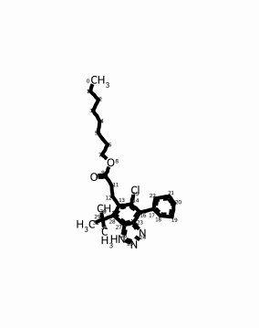 CCCCCCCCOC(=O)CCc1c(Cl)c(-c2ccccc2)c2nn[nH]c2c1C(C)(C)C